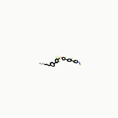 CC/C=C/C1CCC(c2cc(F)c(C(F)(F)Oc3ccc(-c4ccc(-c5ccc(N=C=S)cc5)c(F)c4)c(F)c3)c(F)c2)CC1